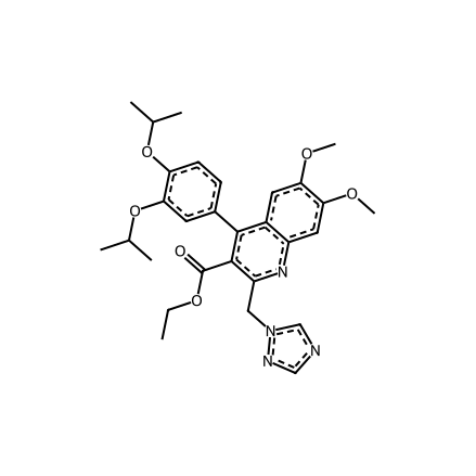 CCOC(=O)c1c(Cn2cncn2)nc2cc(OC)c(OC)cc2c1-c1ccc(OC(C)C)c(OC(C)C)c1